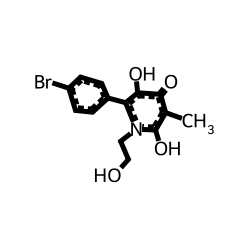 Cc1c(O)n(CCO)c(-c2ccc(Br)cc2)c(O)c1=O